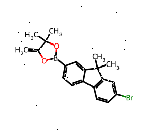 C=C1OB(c2ccc3c(c2)C(C)(C)c2cc(Br)ccc2-3)OC1(C)C